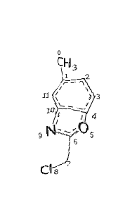 Cc1ccc2oc(CCl)nc2c1